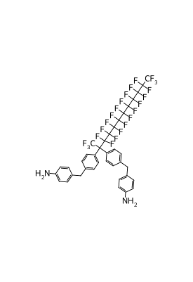 Nc1ccc(Cc2ccc(C(c3ccc(Cc4ccc(N)cc4)cc3)(C(F)(F)F)C(F)(F)C(F)(F)C(F)(F)C(F)(F)C(F)(F)C(F)(F)C(F)(F)C(F)(F)C(F)(F)C(F)(F)F)cc2)cc1